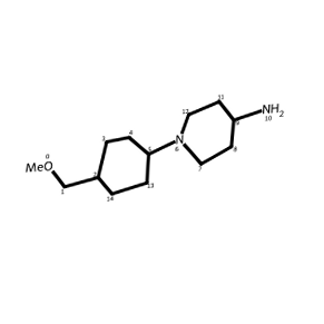 COCC1CCC(N2CCC(N)CC2)CC1